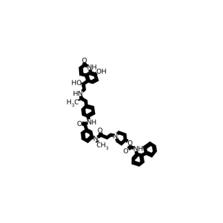 C[C@H](Cc1ccc(NC(=O)c2cccc(N(C)C(=O)CCN3CCC(OC(=O)Nc4ccccc4-c4ccccc4)CC3)c2)cc1)NC[C@H](O)c1ccc(O)c2[nH]c(=O)ccc12